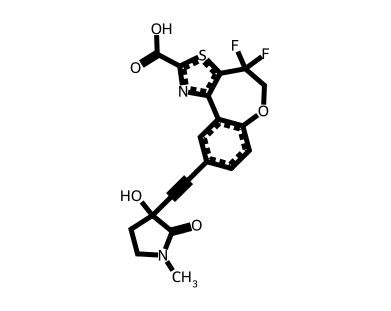 CN1CCC(O)(C#Cc2ccc3c(c2)-c2nc(C(=O)O)sc2C(F)(F)CO3)C1=O